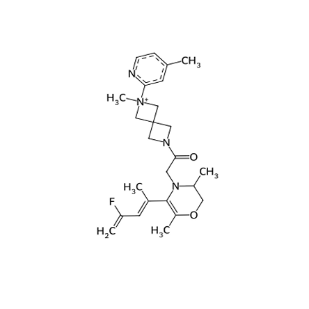 C=C(F)/C=C(\C)C1=C(C)OCC(C)N1CC(=O)N1CC2(C1)C[N+](C)(c1cc(C)ccn1)C2